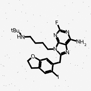 CC(C)(C)NCCCCn1c(Cc2cc3c(cc2I)CCO3)nc2c(N)nc(F)nc21